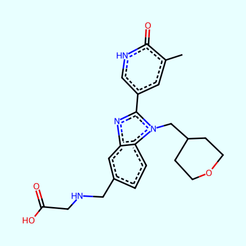 Cc1cc(-c2nc3cc(CNCC(=O)O)ccc3n2CC2CCOCC2)c[nH]c1=O